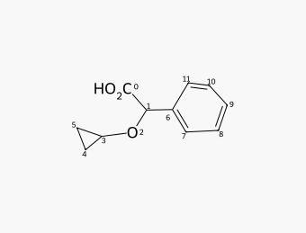 O=C(O)C(OC1CC1)c1ccccc1